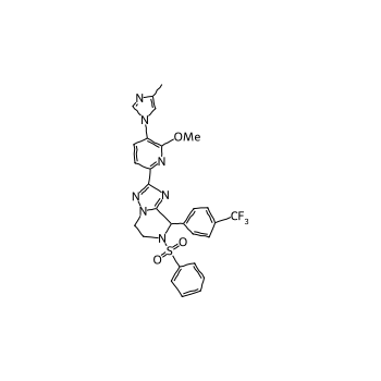 COc1nc(-c2nc3n(n2)CCN(S(=O)(=O)c2ccccc2)C3c2ccc(C(F)(F)F)cc2)ccc1-n1cnc(C)c1